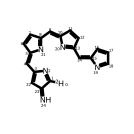 [2H]C1=NC(C=C2C=CC(C=C3C=CC(C=C4C=CC=N4)=N3)=N2)=CC1=N